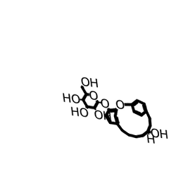 OCC1O[C@@H](Oc2ccc3cc2Oc2ccc(cc2)CC[C@@H](O)CCCC3)[C@@H](O)C(O)[C@H]1O